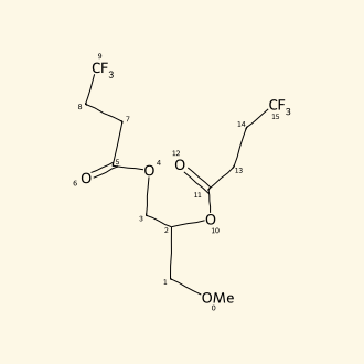 COCC(COC(=O)CCC(F)(F)F)OC(=O)CCC(F)(F)F